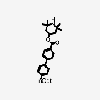 CCCCCCCCc1ccc(-c2ccc(C(=O)OC3CC(C)(C)NC(C)(C)C3)cc2)cc1